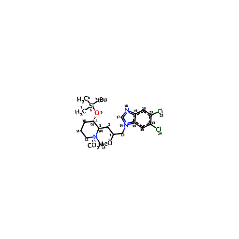 COC(C[C@@H]1[C@@H](O[Si](C)(C)C(C)(C)C)CCCN1C(=O)O)Cn1cnc2cc(Cl)c(Cl)cc21